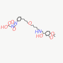 CC1(C)OCc2cc([C@H](O)CNCCCCCCOCCCCc3cccc(N4CC(=O)N(CC(=O)O)C4=O)c3)ccc2O1